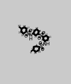 Cc1ccc(S(=O)(=O)Nc2cccc(S(=O)(=O)c3cccc(NS(=O)(=O)c4ccc(C)cc4)c3)c2)cc1